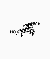 CNc1nc(-c2ccc(F)cc2)c(/C=C/C(O)CC(O)CC(=O)O)c(C(C)C)n1